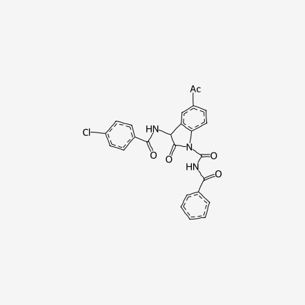 CC(=O)c1ccc2c(c1)C(NC(=O)c1ccc(Cl)cc1)C(=O)N2C(=O)NC(=O)c1ccccc1